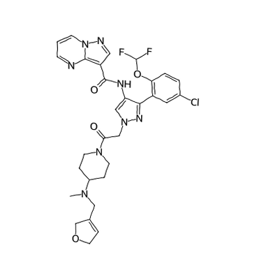 CN(CC1=CCOC1)C1CCN(C(=O)Cn2cc(NC(=O)c3cnn4cccnc34)c(-c3cc(Cl)ccc3OC(F)F)n2)CC1